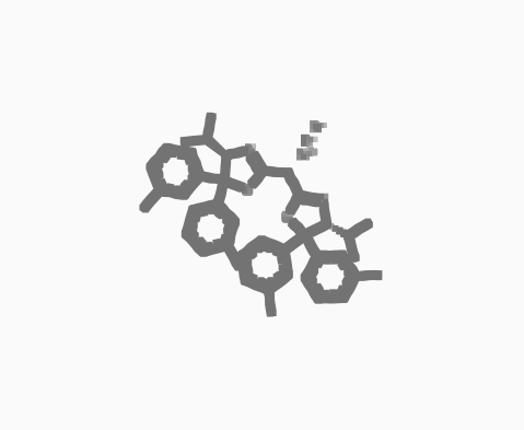 Cc1cccc(C2(c3cccc(C)c3)OC(CC3=N[C@H](C(C)C)C(c4cccc(C)c4)(c4cccc(C)c4)O3)=N[C@@H]2C(C)C)c1.[Br-].[Br-].[Ni+2]